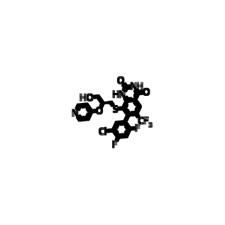 O=c1[nH]c(=O)c2cc(C(F)(F)F)c(-c3cc(Cl)c(F)cc3F)c(SC[C@H](CO)Oc3ccncc3)c2[nH]1